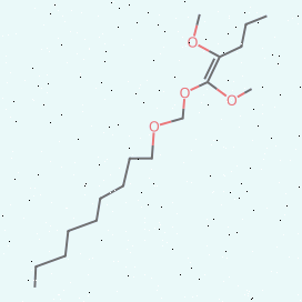 CCCCCCCCCOCOC(OC)=C(CCC)OC